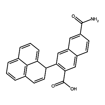 NC(=O)c1ccc2cc(C(=O)O)c(C3C=Cc4cccc5cccc3c45)cc2c1